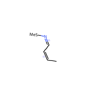 C/C=C\C=N/SC